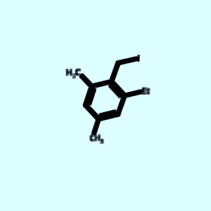 CCc1cc(C)cc(C)c1CI